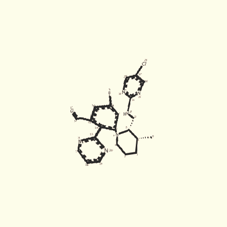 C[C@@H]1CCCN(c2cc(F)cc(C=O)c2-c2ncccn2)[C@@H]1CNc1ncc(Cl)cn1